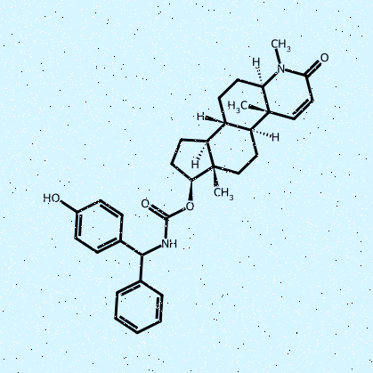 CN1C(=O)C=C[C@]2(C)[C@H]3CC[C@]4(C)[C@@H](OC(=O)NC(c5ccccc5)c5ccc(O)cc5)CC[C@H]4[C@@H]3CC[C@@H]12